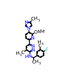 COc1nc(-c2cc(C)c(NC(C)c3ccc(F)c(C)c3)nn2)ccc1-n1cnc(C)c1